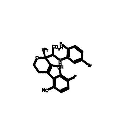 CCC[C@]1(C(Nc2cc(Br)ccc2F)C(=O)O)OCCc2c1[nH]c1c(F)ccc(C#N)c21